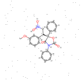 COc1cccc(C(C[N+](=O)[O-])[C@@]2(c3ccccc3)OC(=O)N(c3ccccc3)C2=O)c1